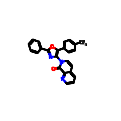 O=c1c2ncccc2ccn1-c1nc(-c2ccccc2)oc1-c1ccc(C(F)(F)F)cc1